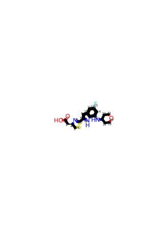 O=C(O)C[C@@H]1CSC(c2cc3cc(F)cc(NC4CCOCC4)c3[nH]2)=N1